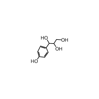 OCC(O)C(O)c1ccc(O)cc1